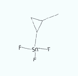 CC1C[CH]1[Sn]([F])([F])[F]